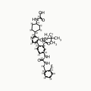 CC(C)(C)NS(=O)(=O)c1cc(NC(=O)NCc2ccccc2F)ccc1-c1cnc(C2CCC(NC(=O)O)CC2)s1